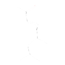 CC(=O)C=CC(C)CC(C)C